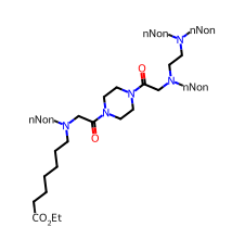 CCCCCCCCCN(CCCCCCCCC)CCN(CCCCCCCCC)CC(=O)N1CCN(C(=O)CN(CCCCCCCCC)CCCCCCC(=O)OCC)CC1